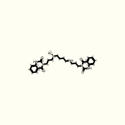 CC(=O)N(CCCCNCCCn1c(=O)[nH]c2ccccc2c1=O)CCCn1c(=O)[nH]c2ccccc2c1=O